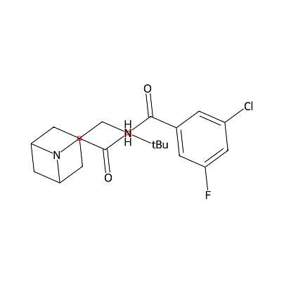 CC(C)(C)NC(=O)CN1C2CC(CNC(=O)c3cc(F)cc(Cl)c3)CC1C2